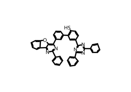 Sc1ccc(-c2nc(-c3ccccc3)nc(-c3ccccc3)n2)cc1-c1cccc(-c2nc(-c3ccccc3)nc3c2oc2ccccc23)c1